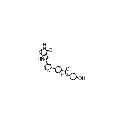 O=C(NC1CCC(O)CC1)c1ccc(-c2cc(-c3cc4c(=O)[nH]cnc4[nH]3)ccn2)cc1